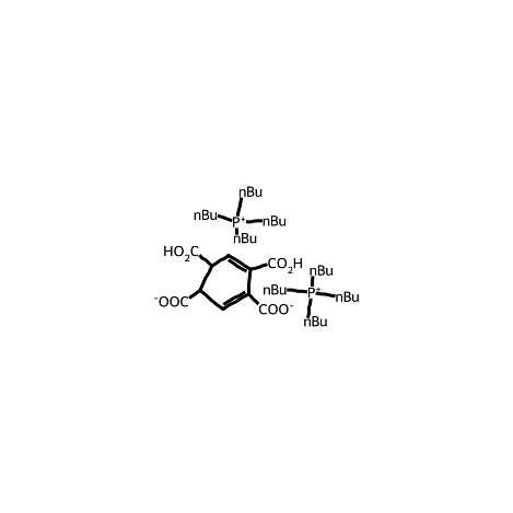 CCCC[P+](CCCC)(CCCC)CCCC.CCCC[P+](CCCC)(CCCC)CCCC.O=C([O-])C1=CC(C(=O)[O-])C(C(=O)O)C=C1C(=O)O